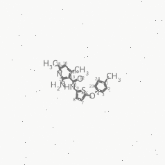 Cc1ccc(Oc2ccc(NC(=O)c3c(C)cc(C)nc3N)s2)cc1